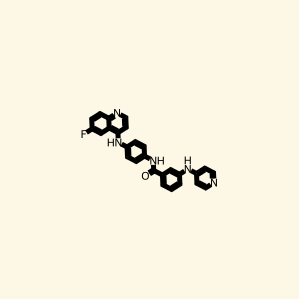 O=C(Nc1ccc(Nc2ccnc3ccc(F)cc23)cc1)c1cccc(Nc2ccncc2)c1